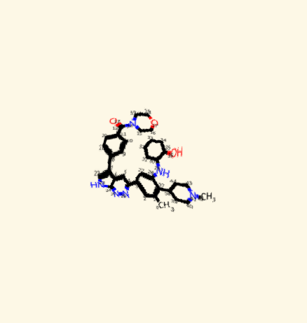 Cc1cc(-c2cc3c(-c4ccc(C(=O)N5CCOCC5)cc4)c[nH]c3nn2)cc(NC2CCCCC2O)c1C1CCN(C)CC1